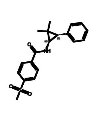 CC1(C)[C@H](NC(=O)c2ccc(S(C)(=O)=O)cc2)[C@H]1c1ccccc1